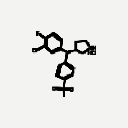 CS(=O)(=O)c1ccc(N(c2ccc(F)c(Cl)c2)[C@H]2CCNC2)cc1.Cl